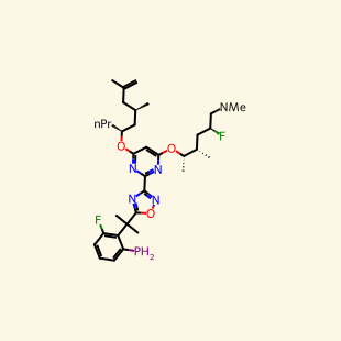 C=C(C)C[C@@H](C)C[C@H](CCC)Oc1cc(O[C@@H](C)[C@@H](C)C[C@H](F)CNC)nc(-c2noc(C(C)(C)c3c(F)cccc3P)n2)n1